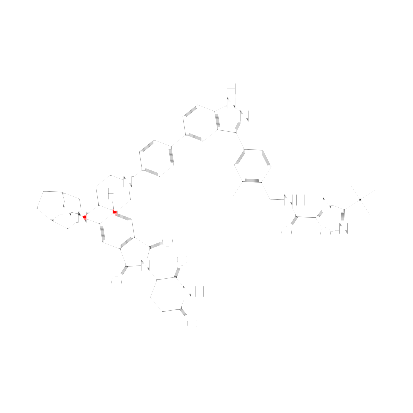 Cc1cc(-c2n[nH]c3ccc(-c4ccc(N5CCC(CN6C7CCC6CN(c6cc8c(cc6F)C(=O)N(C6CCC(=O)NC6=O)C8=O)C7)CC5)cc4)cc23)ccc1CNC(=O)c1nc(C(C)(C)C)no1